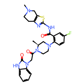 C[C@H]1CN(c2ccc(F)cc2C(=O)Nc2nc3c(s2)CN(C)CC3)CCN1C(=O)Cn1c(=O)[nH]c2ccccc21